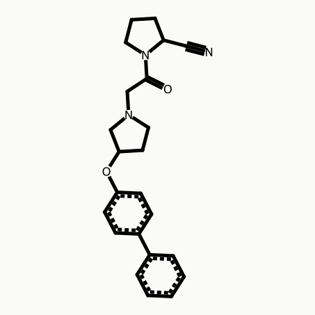 N#CC1CCCN1C(=O)CN1CCC(Oc2ccc(-c3ccccc3)cc2)C1